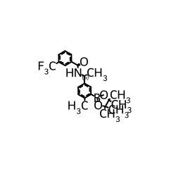 Cc1ccc([C@H](C)NC(=O)c2cccc(C(F)(F)F)c2)cc1B1OC(C)(C)C(C)(C)O1